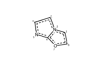 [c]1cn2[c]cnc2o1